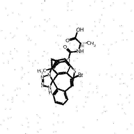 Cc1ccc2sc3c(Br)c2c1C1(NN=NN1C1CC1OC(=O)N[C@@H](C)C(=O)O)c1ccccc1-3